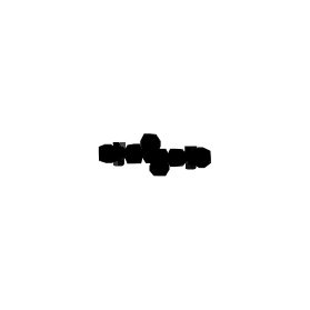 c1ccc2sc(-c3ccc(-c4cc5c6ccccc6c(-c6ccc(-c7nc8ccccc8s7)cc6)cc5c5ccccc45)cc3)nc2c1